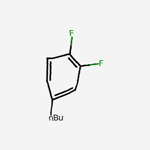 CCCCc1ccc(F)c(F)c1